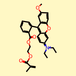 C=C(C)C(=O)OCCOC(=O)c1ccccc1-c1c2ccc(=[N+](CC)CC)cc-2oc2ccc(OC)cc12